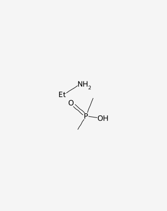 CCN.CP(C)(=O)O